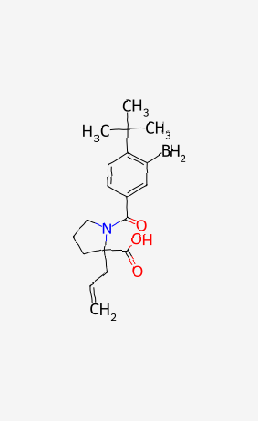 Bc1cc(C(=O)N2CCCC2(CC=C)C(=O)O)ccc1C(C)(C)C